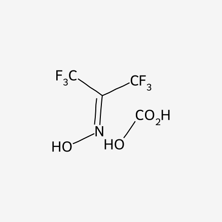 O=C(O)O.ON=C(C(F)(F)F)C(F)(F)F